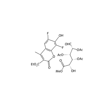 CCOC(=O)c1c(C)c2cc(F)c(O)c(F)c2oc1=O.COC(=O)[C@@H](O)[C@@H](OC(C)=O)[C@H](OC(C)=O)[C@H](C=O)OC(C)=O